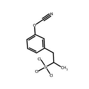 CC(Cc1cccc(OC#N)c1)[Si](Cl)(Cl)Cl